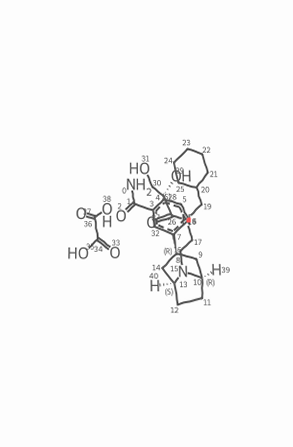 NC(=O)c1cccc([C@H]2C[C@H]3CC[C@@H](C2)N3CCN(CC2CCCCC2)C(=O)[C@@H](O)CO)c1.O=C(O)C(=O)O